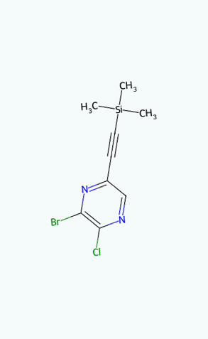 C[Si](C)(C)C#Cc1cnc(Cl)c(Br)n1